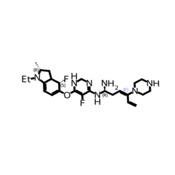 C=C/C(=C\C[C@H](N)NC1=NCNC(OC2=CC=C3C(C[C@@H](C)N3CC)[C@@H]2F)=C1F)N1CCNCC1